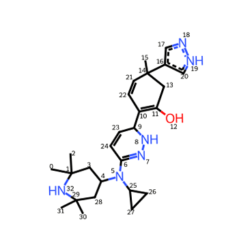 CC1(C)CC(N(C2=NNC(C3=C(O)CC(C)(c4cn[nH]c4)C=C3)C=C2)C2CC2)CC(C)(C)N1